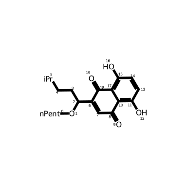 CCCCCOC(CCC(C)C)C1=CC(=O)c2c(O)ccc(O)c2C1=O